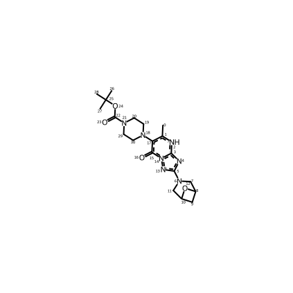 Cc1[nH]c2nc(N3CC4CC(C3)O4)nn2c(=O)c1N1CCN(C(=O)OC(C)(C)C)CC1